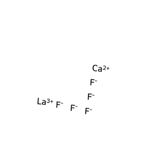 [Ca+2].[F-].[F-].[F-].[F-].[F-].[La+3]